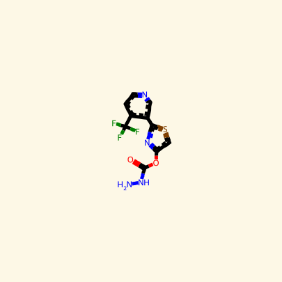 NNC(=O)Oc1csc(-c2cnccc2C(F)(F)F)n1